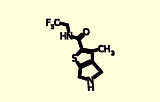 Cc1c(C(=O)NCC(F)(F)F)sc2c1CNC2